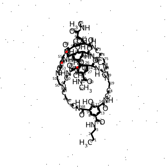 CCCCNC(=O)c1cc2c(O)c(c1)C(=O)NCCCN1CCNC(=O)c3cc(C(=O)NC)cc(c3O)C(=O)NCCN(CCCCNC2=O)CCN2CCCNC(=O)c3cc(C(=O)NC)cc(c3O)C(=O)NCCCN(CCNC(=O)c3cc(C(=O)NC)cc(c3O)C(=O)NCC2)CC1